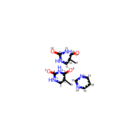 Cc1c[nH]c(=O)[nH]c1=O.Cc1c[nH]c(=O)[nH]c1=O.c1cncnc1